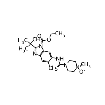 CCOC(=O)n1c(C(C)(C)C)nc2cc(Cl)c(NC(=S)N3CC[N+](C)([O-])CC3)cc21